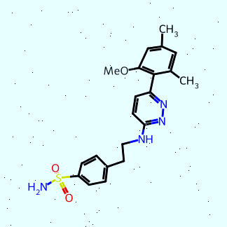 COc1cc(C)cc(C)c1-c1ccc(NCCc2ccc(S(N)(=O)=O)cc2)nn1